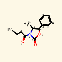 CC(C)CCC(=O)N1C(=O)OC(c2ccccc2)C1C